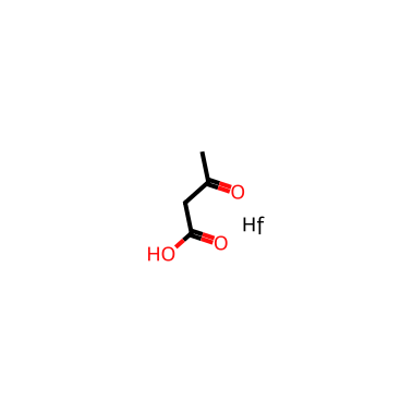 CC(=O)CC(=O)O.[Hf]